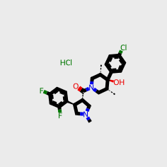 C[C@@H]1CN(C(=O)[C@@H]2CN(C)C[C@H]2c2ccc(F)cc2F)C[C@H](C)[C@]1(O)c1ccc(Cl)cc1.Cl